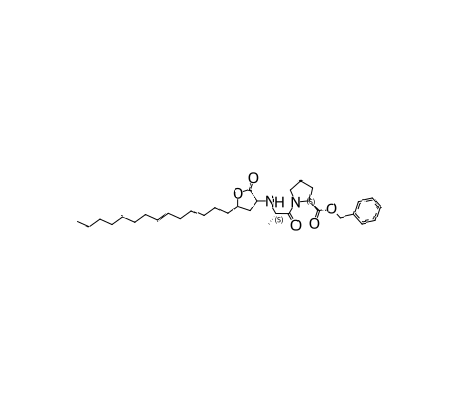 CCCCCCCCCCCCCCC1CC(N[C@@H](C)C(=O)N2CCC[C@H]2C(=O)OCc2ccccc2)C(=O)O1